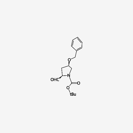 CC(C)(C)OC(=O)N1C[C@H](OCc2ccccc2)C[C@@H]1C=O